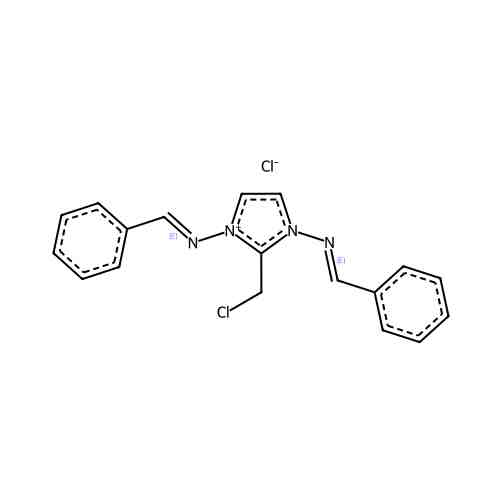 ClCc1n(/N=C/c2ccccc2)cc[n+]1/N=C/c1ccccc1.[Cl-]